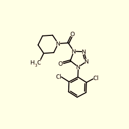 CC1CCCN(C(=O)n2nnn(-c3c(Cl)cccc3Cl)c2=O)C1